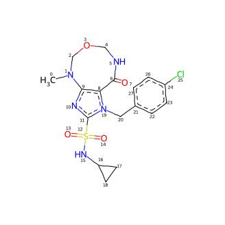 CN1COCNC(=O)c2c1nc(S(=O)(=O)NC1CC1)n2Cc1ccc(Cl)cc1